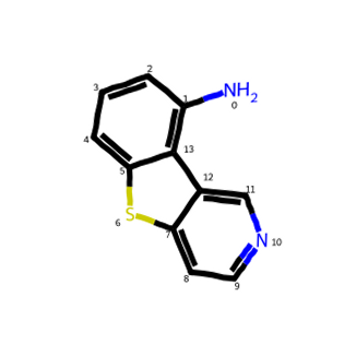 Nc1cccc2sc3ccncc3c12